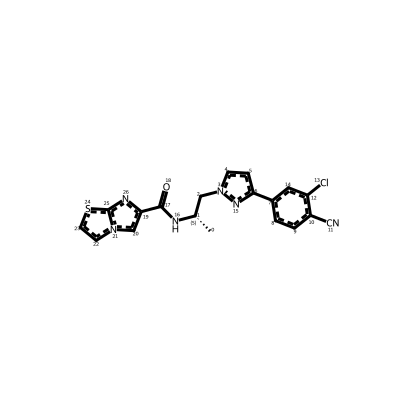 C[C@@H](Cn1ccc(-c2ccc(C#N)c(Cl)c2)n1)NC(=O)c1cn2ccsc2n1